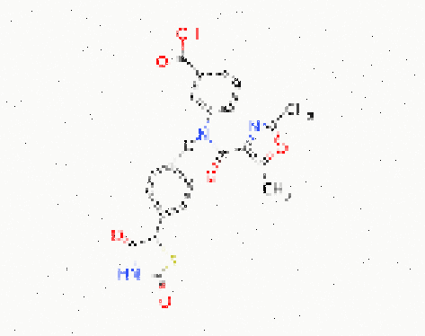 Cc1nc(C(=O)N(Cc2ccc(C3SC(=O)NC3=O)cc2)c2cccc(C(=O)O)c2)c(C)o1